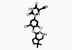 CC1(C)CCC2=C1CNN=C2Oc1c(Cl)cc(-n2nc(C#N)c(=O)[nH]c2=O)cc1Cl